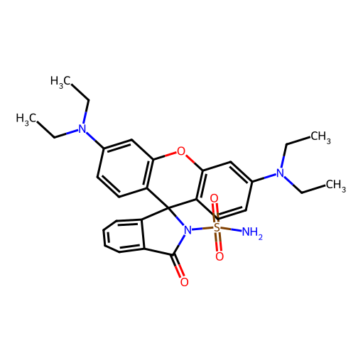 CCN(CC)c1ccc2c(c1)Oc1cc(N(CC)CC)ccc1C21c2ccccc2C(=O)N1S(N)(=O)=O